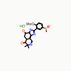 COc1ccc([S+](C)[O-])cc1C1=NC2=C3C=NC(C)(C)C(=O)C3CC(=O)C2=N1.Cl